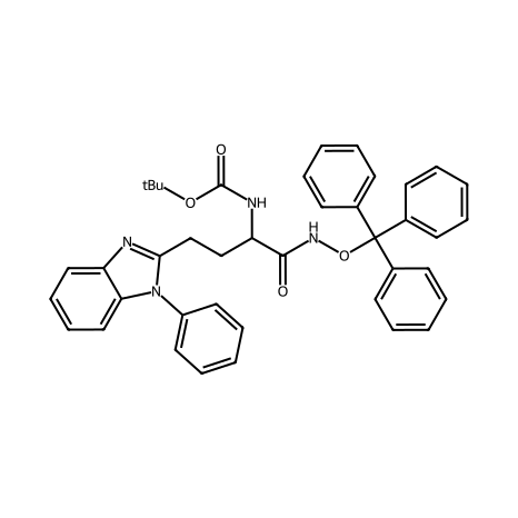 CC(C)(C)OC(=O)NC(CCc1nc2ccccc2n1-c1ccccc1)C(=O)NOC(c1ccccc1)(c1ccccc1)c1ccccc1